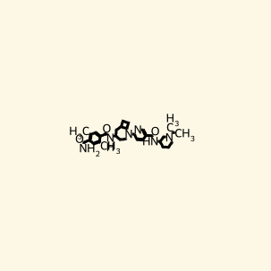 Cc1cc(C(=O)NC2CCN(c3ccc(C(=O)NC4CCCN(C(C)C)C4)cn3)C3CCC3C2)c(C)cc1C(N)=O